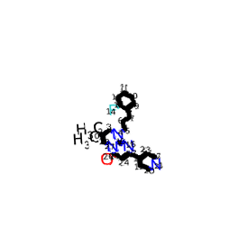 CC1(C)CN(CCCc2ccccc2F)c2nc(-c3ccncc3)cc(=O)n2C1